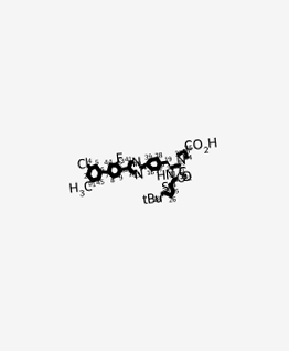 Cc1cc(Cl)cc(-c2ccc(-c3cnc(-c4ccc(C[C@H](NC(=O)c5ccc(C(C)(C)C)s5)C(=C=O)N5CC(C(=O)O)C5)cc4)nc3)c(F)c2)c1